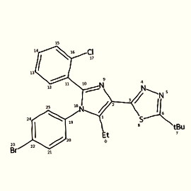 CCc1c(-c2nnc(C(C)(C)C)s2)nc(-c2ccccc2Cl)n1-c1ccc(Br)cc1